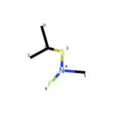 CC(C)SN(C)F